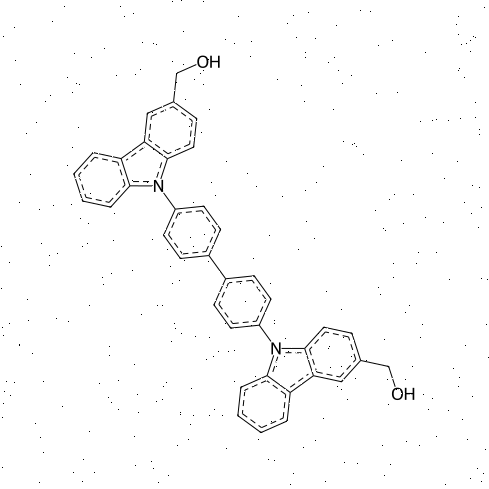 OCc1ccc2c(c1)c1ccccc1n2-c1ccc(-c2ccc(-n3c4ccccc4c4cc(CO)ccc43)cc2)cc1